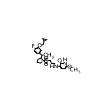 COc1ccc(NCCCS(=O)(=O)N2CCCC2C(C)c2ccc(F)c(OCC3CC3)c2)c(=O)[nH]1